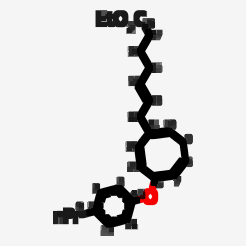 CCCc1ccc(OC2=C=CC/C=C(C/C=C/CCCC(=O)OCC)\C=C/2)cc1